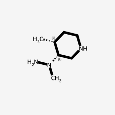 C[C@@H]1CCNC[C@@H]1N(C)N